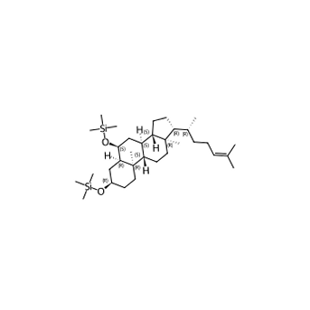 CC(C)=CCC[C@@H](C)[C@H]1CC[C@H]2[C@@H]3C[C@H](O[Si](C)(C)C)[C@@H]4C[C@H](O[Si](C)(C)C)CC[C@]4(C)[C@H]3CC[C@]12C